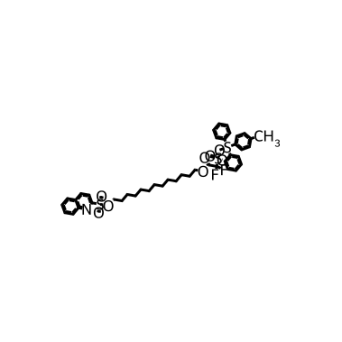 Cc1ccc(S(OS(=O)(=O)C(F)(F)C(=O)OCCCCCCCCCCCCCOS(=O)(=O)c2ccc3ccccc3n2)(c2ccccc2)c2ccccc2)cc1